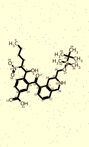 CCCCC(C(O)c1ccc(C(=O)O)cc1C(=O)c1cccc2c1CC(CO[Si](C)(C)C(C)(C)C)NC2)[N+](=O)[O-]